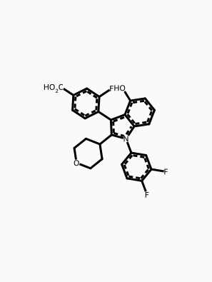 O=C(O)c1ccc(-c2c(C3CCOCC3)n(-c3ccc(F)c(F)c3)c3cccc(O)c23)c(F)c1